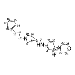 Fc1cc(NCC2C3CN(CCCc4ccccc4)CC23)ccc1N1CCOCC1